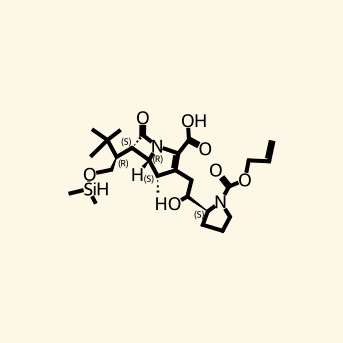 C=CCOC(=O)N1CCC[C@H]1C(O)CC1=C(C(=O)O)N2C(=O)[C@@H]([C@@H](CO[SiH](C)C)C(C)(C)C)[C@H]2[C@H]1C